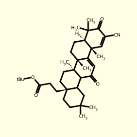 CC1(C)CC[C@]2(CCC(=O)OC(C)(C)C)CC[C@]3(C)C(C(=O)C=C4[C@@]5(C)C=C(C#N)C(=O)C(C)(C)[C@@H]5CC[C@]43C)C2C1